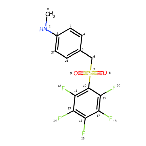 CNc1ccc(CS(=O)(=O)c2c(F)c(F)c(F)c(F)c2F)cc1